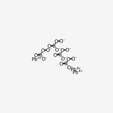 [O-]OB([O-])[O-].[O-]OB([O-])[O-].[O-]OB([O-])[O-].[O-]OB([O-])[O-].[Pb+4].[Pb+4].[Pb+4]